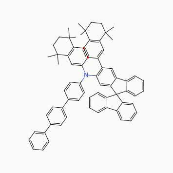 CC1(C)CCC(C)(C)c2cc(-c3cc4c(cc3N(c3ccc(-c5ccc(-c6ccccc6)cc5)cc3)c3ccc5c(c3)C(C)(C)CCC5(C)C)C3(c5ccccc5-c5ccccc53)c3ccccc3-4)ccc21